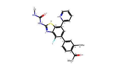 CCNC(=O)Nc1nc2c(F)c(-c3ccc(C(=O)OC)c(OC)c3)cc(-c3ccccn3)c2s1